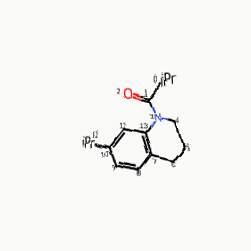 CC(C)C(=O)N1CCCc2ccc(C(C)C)cc21